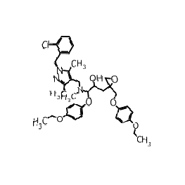 CCOc1ccc(OCC2(CC(O)C(Oc3ccc(OCC)cc3)N(C)Cc3c(C)nn(Cc4ccccc4Cl)c3C)CO2)cc1